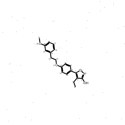 CCc1c(O)noc1-c1ccc(OCCc2cccc(OC)c2)cc1